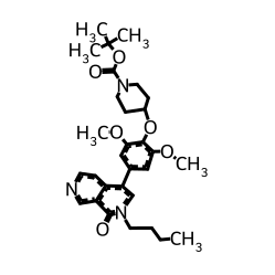 CCCCn1cc(-c2cc(OC)c(OC3CCN(C(=O)OC(C)(C)C)CC3)c(OC)c2)c2ccncc2c1=O